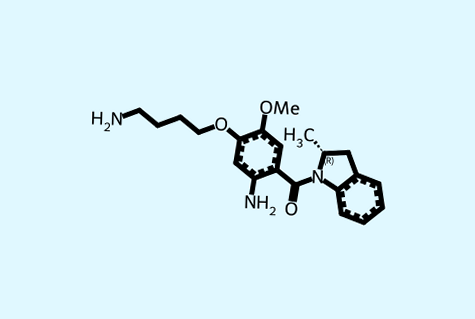 COc1cc(C(=O)N2c3ccccc3C[C@H]2C)c(N)cc1OCCCCN